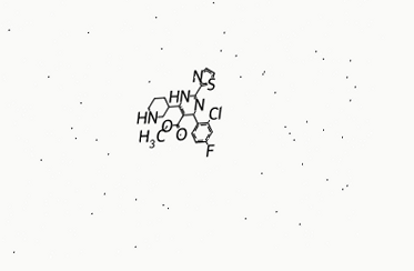 COC(=O)C1=C(C2CCCNC2)NC(c2nccs2)=NC1c1ccc(F)cc1Cl